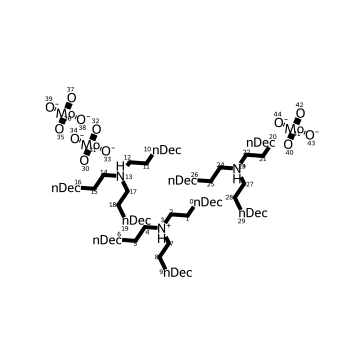 CCCCCCCCCCCC[NH+](CCCCCCCCCCCC)CCCCCCCCCCCC.CCCCCCCCCCCC[NH+](CCCCCCCCCCCC)CCCCCCCCCCCC.CCCCCCCCCCCC[NH+](CCCCCCCCCCCC)CCCCCCCCCCCC.[O]=[Mo](=[O])([O-])[O-].[O]=[Mo](=[O])([O-])[O-].[O]=[Mo](=[O])([O-])[O-]